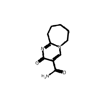 NC(=O)c1cn2c(nc1=O)CCCCC2